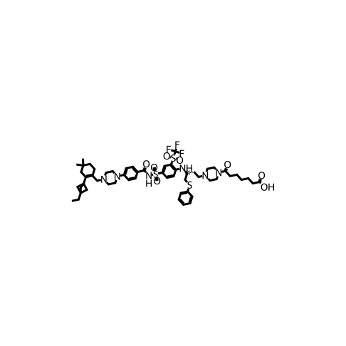 CCC12CC(C3=C(CN4CCN(c5ccc(C(=O)NS(=O)(=O)c6ccc(N[C@H](CCN7CCN(C(=O)CCCCCC(=O)O)CC7)CSc7ccccc7)c(S(=O)(=O)C(F)(F)F)c6)cc5)CC4)CCC(C)(C)C3)(C1)C2